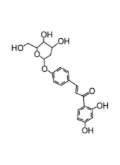 O=C(C=Cc1ccc(OC2CC(O)C(O)C(CO)O2)cc1)c1ccc(O)cc1O